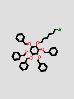 BrCCCCCCO[C@H]1[C@@H](OCc2ccccc2)[C@H](OCc2ccccc2)[C@@H](OCc2ccccc2)[C@H](OCc2ccccc2)[C@H]1OCc1ccccc1